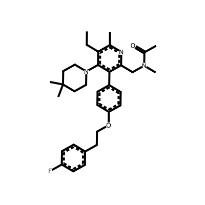 CCc1c(C)nc(CN(C)C(C)=O)c(-c2ccc(OCCc3ccc(F)cc3)cc2)c1N1CCC(C)(C)CC1